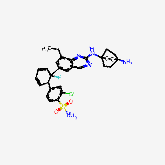 CCc1cc(C2(F)C=CC=CC2c2ccc(S(N)(=O)=O)c(Cl)c2)cc2cnc(NC34CCC(N)(CC3)CC4)nc12